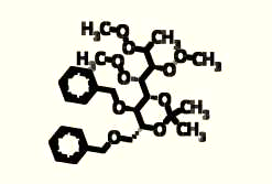 COOC(C)[C@@H](OOC)[C@@H](OOC)[C@@H]1OC(C)(C)O[C@H](COCc2ccccc2)[C@H]1OCc1ccccc1